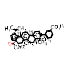 C=C(C)[C@@H]1CC[C@]2(C(=O)OC)CC[C@]3(C)[C@H](CC[C@@H]4[C@@]5(C)CC=C(c6cccc(C(=O)O)c6)C(C)(C)[C@@H]5CC[C@]43C)[C@@H]12